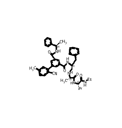 CCNC(=O)[C@@H](NC(=O)[C@H](C)NC[C@H](Cc1ccccc1)NC(=O)c1cc(C(=O)N[C@H](C)c2ccccc2)cc(-c2cc(C)ccc2C#N)c1)C(C)C